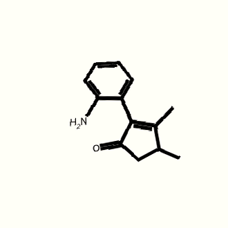 CC1=C(c2ccccc2N)C(=O)CC1C